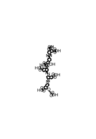 O=S(=O)(O)CCCOc1cc(S(=O)(=O)O)cc2cc(N=Nc3ccc(N=Nc4ccc(N=Nc5c(S(=O)(=O)O)cc6cc(-n7nc8ccc9c(S(=O)(=O)O)cc(S(=O)(=O)O)cc9c8n7)ccc6c5O)c5cc(S(=O)(=O)O)ccc45)c4cc(S(=O)(=O)O)ccc34)ccc12